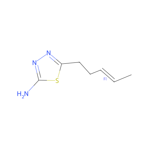 C/C=C/CCc1nnc(N)s1